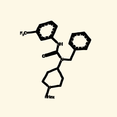 CCCCCCN1CCC(N(Cc2ccccc2)C(=O)Nc2cccc(C(F)(F)F)c2)CC1